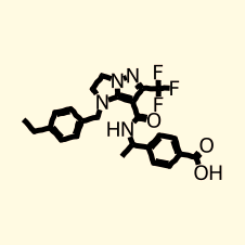 CCc1ccc(CN2CCn3nc(C(F)(F)F)c(C(=O)NC(C)c4ccc(C(=O)O)cc4)c32)cc1